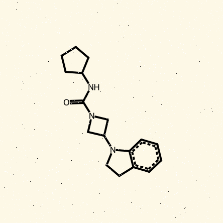 O=C(NC1CCCC1)N1CC(N2CCc3ccccc32)C1